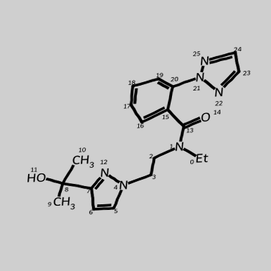 CCN(CCn1ccc(C(C)(C)O)n1)C(=O)c1ccccc1-n1nccn1